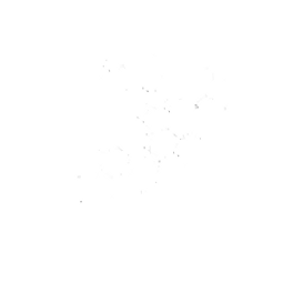 COc1c(F)ccc(-n2c(=O)n(C)c(=O)c3c2nc(N2CCCC(N)C2)n3CC=C(C)C)c1F